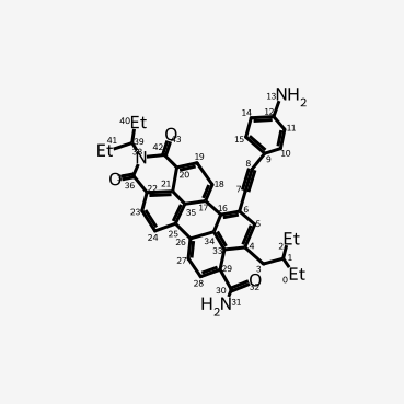 CCC(CC)Cc1cc(C#Cc2ccc(N)cc2)c2c3ccc4c5c(ccc(c6ccc(C(N)=O)c1c62)c53)C(=O)N(C(CC)CC)C4=O